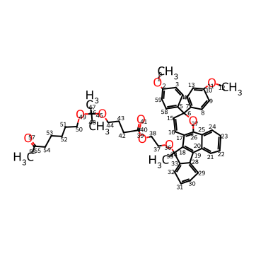 COc1ccc(C2(c3ccc(OC)cc3)C=Cc3c4c(c5ccccc5c3O2)-c2ccccc2C4(C)OCCOC(=O)CCCOC(C)(C)OCCCCCC(C)=O)cc1